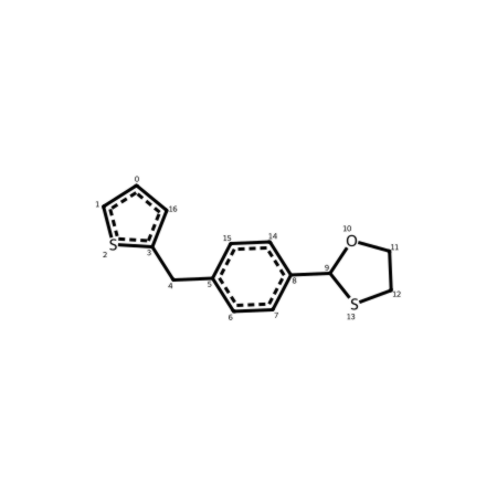 c1csc(Cc2ccc(C3OCCS3)cc2)c1